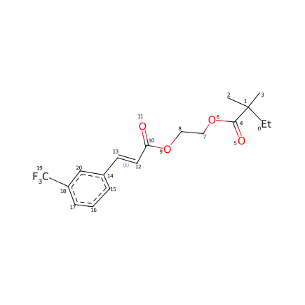 CCC(C)(C)C(=O)OCCOC(=O)/C=C/c1cccc(C(F)(F)F)c1